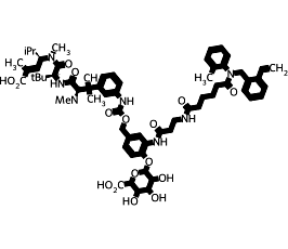 C=Cc1ccccc1CN(C(=O)CCCCC(=O)NCCC(=O)Nc1cc(COC(=O)Nc2cccc(C(C)(C)[C@@H](NC)C(=O)N[C@H](C(=O)N(C)[C@H](/C=C(\C)C(=O)O)C(C)C)C(C)(C)C)c2)ccc1OC1OC(C(=O)O)C(O)C(O)C1O)c1ccccc1C